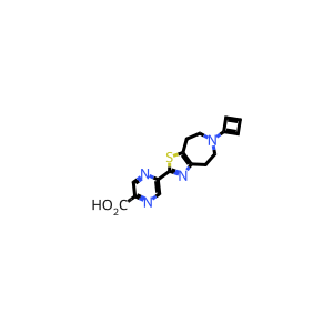 O=C(O)c1cnc(-c2nc3c(s2)CCN(C2=CC=C2)CC3)cn1